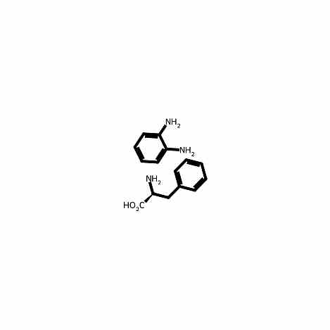 N[C@@H](Cc1ccccc1)C(=O)O.Nc1ccccc1N